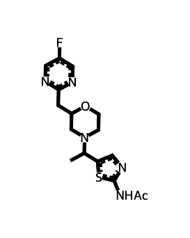 CC(=O)Nc1ncc(C(C)N2CCOC(Cc3ncc(F)cn3)C2)s1